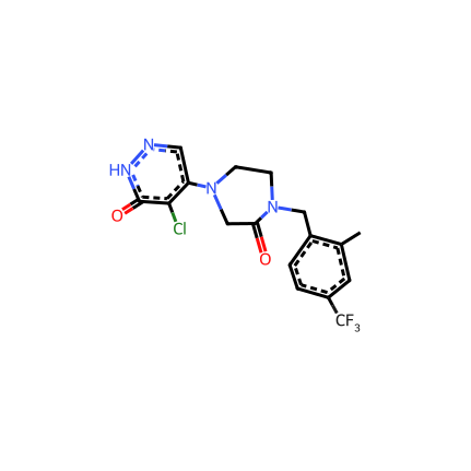 Cc1cc(C(F)(F)F)ccc1CN1CCN(c2cn[nH]c(=O)c2Cl)CC1=O